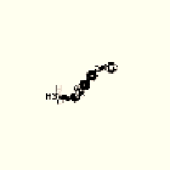 O=C(C=Cc1ccn(S(=O)(=O)c2ccc(-c3ccc(OCCN4CCOCC4)cc3)cc2)c1)NO